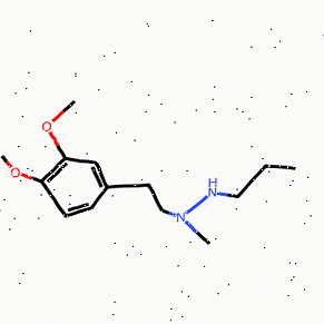 CCCNN(C)CCc1ccc(OC)c(OC)c1